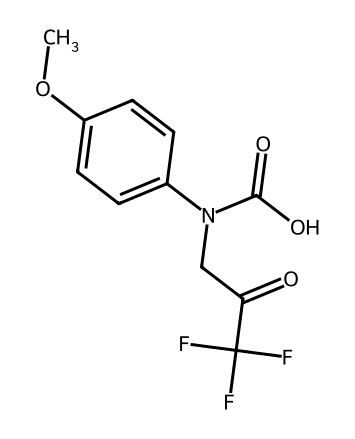 COc1ccc(N(CC(=O)C(F)(F)F)C(=O)O)cc1